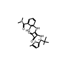 Cc1ccc([C@H](Nc2c(Nc3cccc(C(=O)N(C)C)c3O)c(=O)c2=O)C(C)(C)C)s1